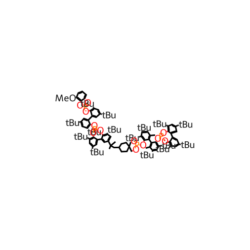 COc1cccc2c1OP(Oc1c(-c3cc(C(C)(C)C)cc(C(C)(C)C)c3Op3oc4c(C(C)(C)C)cc(C(C)(C)C)cc4c4cc(C(C)(C)CC5CCC6(CC5)COP(Oc5c(C(C)(C)C)cc(C(C)(C)C)c(C)c5-c5c(C)c(C(C)(C)C)cc(C(C)(C)C)c5Op5oc7c(C(C)(C)C)cc(C(C)(C)C)cc7c7cc(C(C)(C)C)cc(C(C)(C)C)c7o5)OC6)cc(C(C)(C)C)c4o3)cc(C(C)(C)C)cc1C(C)(C)C)O2